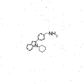 NCc1ccc(-c2cc3ccccc3n2C2CCCCC2)cc1